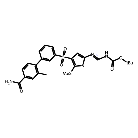 CSc1sc(/N=C/NC(=O)OC(C)(C)C)cc1S(=O)(=O)c1cccc(-c2ccc(C(N)=O)cc2C)c1